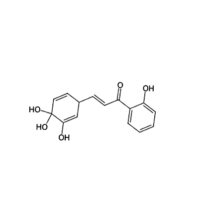 O=C(/C=C/C1C=CC(O)(O)C(O)=C1)c1ccccc1O